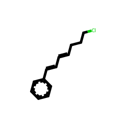 ClCCC/C=C/C=C/c1ccccc1